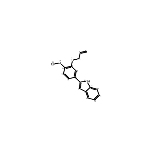 C=CCOc1cc(-c2cc3ccccc3[nH]2)ccc1OCC